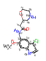 COc1cc2nccc(Cl)c2cc1NC(=O)CC1CNCCO1